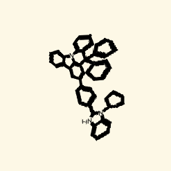 C1=CCCC(C2(c3ccccc3)c3ccccc3-n3c4ccccc4c4cc(-c5ccc(C6Nc7ccccc7N6C6C=CC=CC6)cc5)cc2c43)=C1